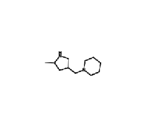 CC1CC(CN2CCCCC2)CN1